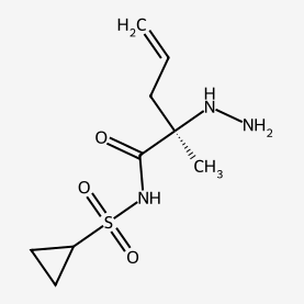 C=CC[C@@](C)(NN)C(=O)NS(=O)(=O)C1CC1